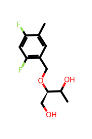 Cc1cc(CO[C@H](CO)C(C)O)c(F)cc1F